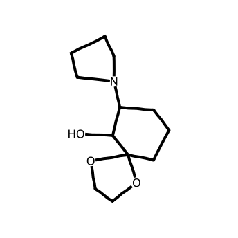 OC1C(N2CCCC2)CCCC12OCCO2